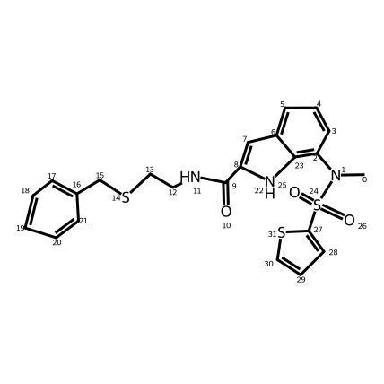 CN(c1cccc2cc(C(=O)NCCSCc3ccccc3)[nH]c12)S(=O)(=O)c1cccs1